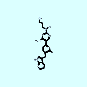 CCN(CCCO)c1ncc(-c2ccc(Cc3c[nH]c4ncccc34)c(C)n2)c(OC)n1